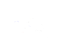 NC1C(=O)N2C(C(=O)O)=C(C(=O)c3ccccc3)CS[C@H]12